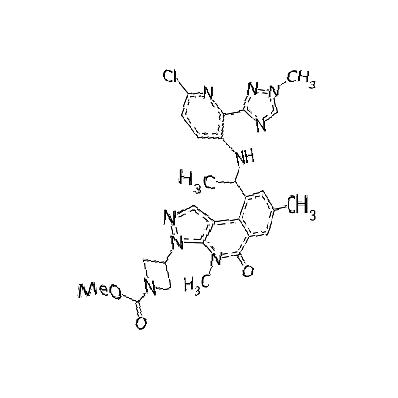 COC(=O)N1CC(n2ncc3c4c(C(C)Nc5ccc(Cl)nc5-c5ncn(C)n5)cc(C)cc4c(=O)n(C)c32)C1